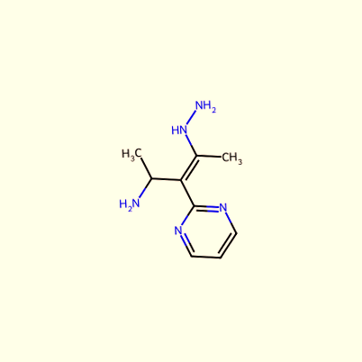 C/C(NN)=C(\c1ncccn1)C(C)N